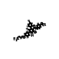 CCOc1ccc(NC(=O)c2c(-c3ccc(C)cc3)c(C)c(-c3ccc(OCCCC(F)(F)F)cc3)[nH]c2=O)cc1